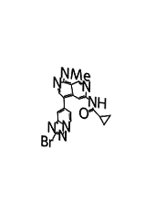 CNc1ncc(-c2ccn3nc(Br)nc3c2)c2cc(NC(=O)C3CC3)ncc12